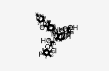 Cc1cc(F)cc(OC[C@H](O)CNc2cc[nH]c(=O)c2-c2nc3cc4c(cc3[nH]2)CN(C2CCN(C)CC2)C4=O)c1Cl.O=C(O)C(F)(F)F